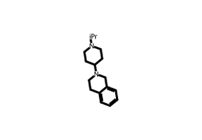 CC(C)N1CCC(N2CCc3ccccc3C2)CC1